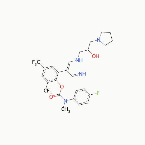 CN(C(=O)Oc1c(/C(C=N)=C/NCC(O)CN2CCCC2)cc(C(F)(F)F)cc1C(F)(F)F)c1ccc(F)cc1